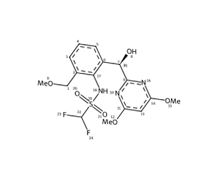 COCc1cccc([C@@H](O)c2nc(OC)cc(OC)n2)c1NS(=O)(=O)C(F)F